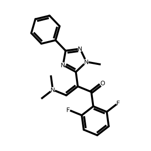 CN(C)/C=C(/C(=O)c1c(F)cccc1F)c1nc(-c2ccccc2)nn1C